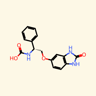 O=C(O)N[C@@H](COc1ccc2[nH]c(=O)[nH]c2c1)c1ccccc1